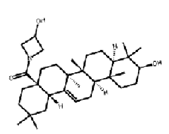 CC1(C)CC[C@]2(C(=O)N3CC(O)C3)CC[C@]3(C)C(=CC[C@@H]4[C@@]5(C)CC[C@H](O)C(C)(C)[C@@H]5CC[C@]43C)[C@@H]2C1